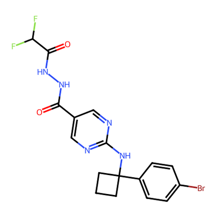 O=C(NNC(=O)C(F)F)c1cnc(NC2(c3ccc(Br)cc3)CCC2)nc1